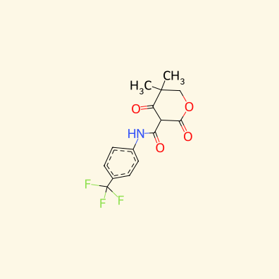 CC1(C)COC(=O)C(C(=O)Nc2ccc(C(F)(F)F)cc2)C1=O